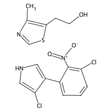 Cc1ncsc1CCO.O=[N+]([O-])c1c(Cl)cccc1-c1c[nH]cc1Cl